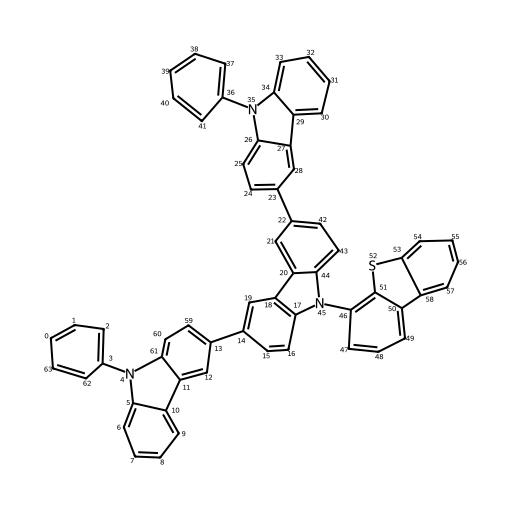 c1ccc(-n2c3ccccc3c3cc(-c4ccc5c(c4)c4cc(-c6ccc7c(c6)c6ccccc6n7-c6ccccc6)ccc4n5-c4cccc5c4sc4ccccc45)ccc32)cc1